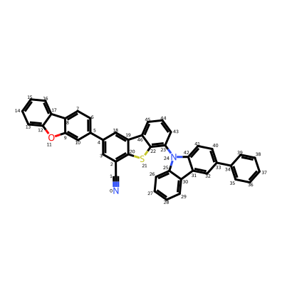 N#Cc1cc(-c2ccc3c(c2)oc2ccccc23)cc2c1sc1c(-n3c4ccccc4c4cc(-c5ccccc5)ccc43)cccc12